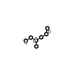 c1ccc(-c2cc(-c3ccc(-c4ccc5oc6ccccc6c5c4)cc3)nc(-c3cccc(-c4cccnc4)c3)n2)cc1